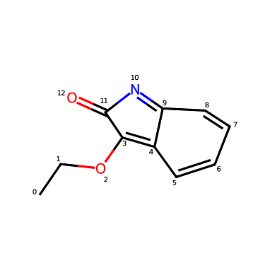 CCOC1=c2ccccc2=NC1=O